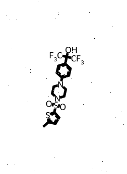 Cc1ccc(S(=O)(=O)N2CCN(c3ccc(C(O)(C(F)(F)F)C(F)(F)F)cc3)CC2)s1